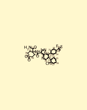 NC(=O)C1(NC(=O)c2cnn3c(-c4ccc(C(F)(F)F)cc4)c(-c4ccccc4Cl)cnc23)CCS(=O)(=O)CC1